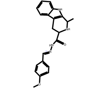 COc1ccc(/C=N/NC(=O)C2Cc3c([nH]c4ccccc34)C(C)N2)cc1